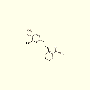 COc1ccc(CCO[C@@H]2CCCCC2C(N)=O)cc1O